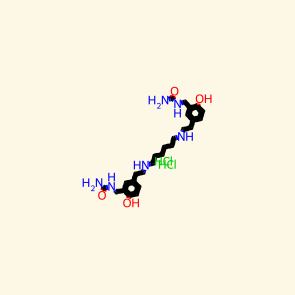 Cl.Cl.NC(=O)NCc1cc(CCNCCCCCCNCCc2ccc(O)c(CNC(N)=O)c2)ccc1O